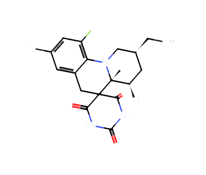 COC[C@H]1C[C@@H](C)[C@H]2N(C1)c1c(F)cc(C(C)=O)cc1CC21C(=O)NC(=O)NC1=O